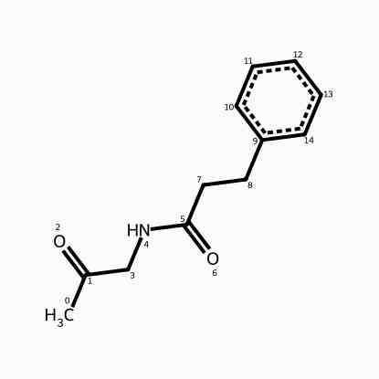 CC(=O)CNC(=O)CCc1ccccc1